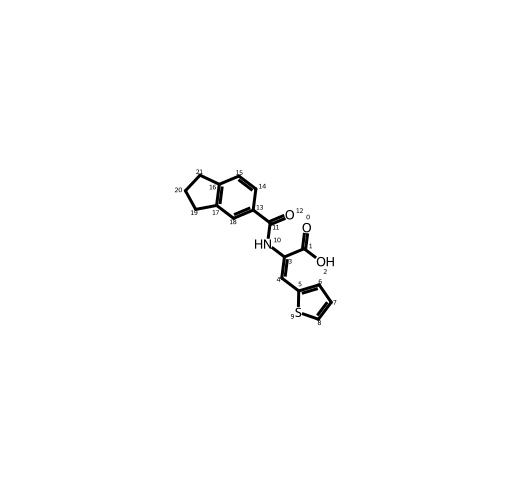 O=C(O)C(=Cc1cccs1)NC(=O)c1ccc2c(c1)CCC2